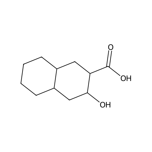 O=C(O)C1CC2CCCCC2CC1O